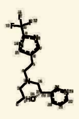 CCCN(CCc1cnc(C(F)(F)F)nc1)C[C@@H](O)c1cccnc1